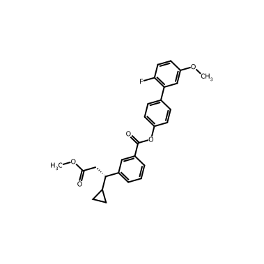 COC(=O)C[C@H](c1cccc(C(=O)Oc2ccc(-c3cc(OC)ccc3F)cc2)c1)C1CC1